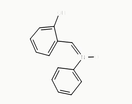 [O-]/[N+](=C/c1ccccc1O)c1ccccc1